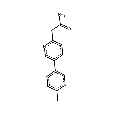 Cc1ccc(-c2ccc(CC(N)=O)nc2)cn1